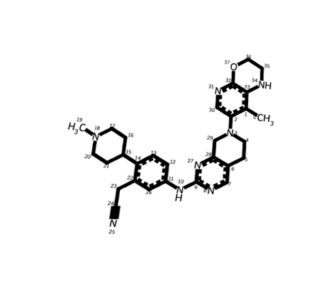 Cc1c(N2CCc3cnc(Nc4ccc(C5CCN(C)CC5)c(CC#N)c4)nc3C2)cnc2c1NCCO2